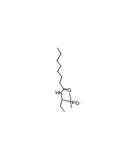 CCCCCCCC(=O)NC(CC)[N+](C)(C)[O-]